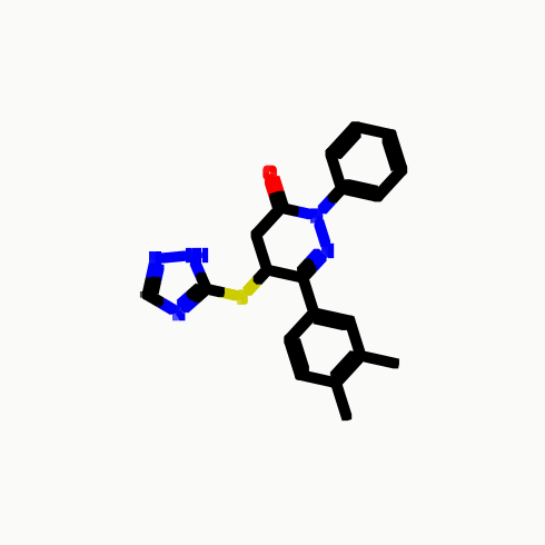 Cc1ccc(C2=NN(c3ccccc3)C(=O)CC2Sc2n[c]n[nH]2)cc1C